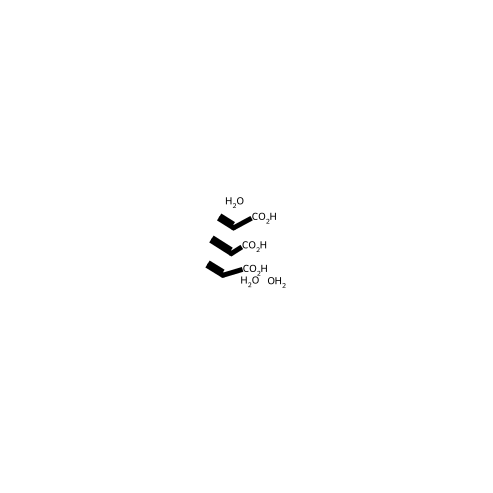 C=CC(=O)O.C=CC(=O)O.C=CC(=O)O.O.O.O